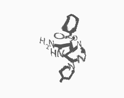 CC1CCN(c2ncnc3c(S(=O)(=O)c4ccccc4)c(N)[nH]c23)CC1